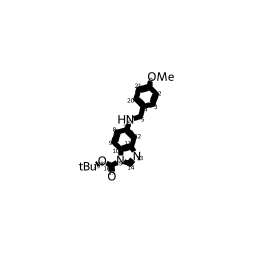 COc1ccc(CNc2ccc3c(c2)ncn3C(=O)OC(C)(C)C)cc1